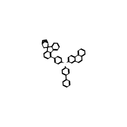 c1ccc(-c2ccc(N(c3ccc(-c4cccc5c4-c4ccccc4C54CC5CCC4C5)cc3)c3ccc4c(ccc5ccccc54)c3)cc2)cc1